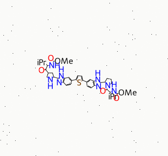 COC(=O)NC(C(=O)C1CNC(c2nc3ccc(-c4ccc(-c5ccc6nc(C7CCCN7C(=O)C(NC(=O)OC)C(C)C)[nH]c6c5)s4)cc3[nH]2)C1)C(C)C